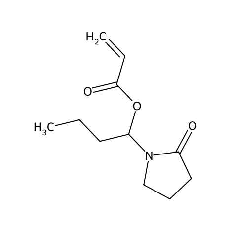 C=CC(=O)OC(CCC)N1CCCC1=O